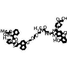 C=CC(=O)N1CCN(c2nc(NCCC(=O)N(C)CCOCCOCCOc3ccc(-c4csc([C@@H]5CCCN5C(=O)C(NC(=O)C(C)NC)C5CCCCC5)n4)c4ccccc34)nc3c(F)c(-c4c(O)cccc4F)c(Cl)cc23)CC1